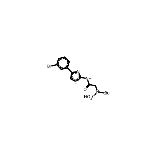 CC(C)(C)N(CC(=O)Nc1nc(-c2cccc(Br)c2)cs1)C(=O)O